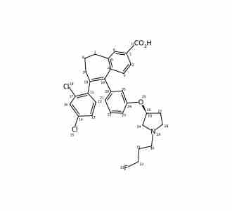 O=C(O)c1ccc2c(c1)CCCC(c1ccc(Cl)cc1Cl)=C2c1cccc(O[C@H]2CCN(CCCF)C2)c1